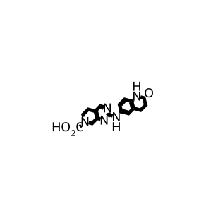 O=C1CCc2cc(Nc3ncc4c(n3)CN(C(=O)O)CC4)ccc2N1